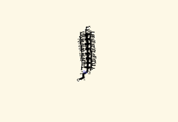 CC/[C]=C/C(F)(F)C(F)(F)C(F)(F)C(F)(F)C(F)(F)C(F)(F)C(F)(F)C(F)(F)F